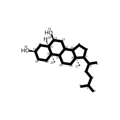 CC(C)CCC(C)C1CCC2C3C[C@H](O)[C@@H]4C[C@H](O)CC[C@]4(C)C3CC[C@]12C